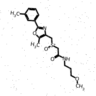 COCCCNC(=O)C[S+]([O-])Cc1nc(-c2cccc(C)c2)oc1C